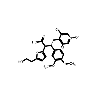 COc1ccc([C@@H](Cc2c(Cl)c[n+]([O-])cc2Cl)C(C(=O)O)c2ccc(CCO)s2)cc1OC